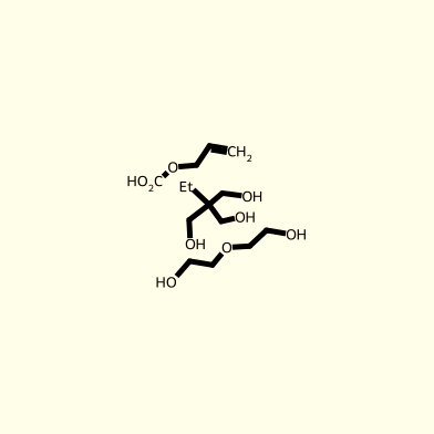 C=CCOC(=O)O.CCC(CO)(CO)CO.OCCOCCO